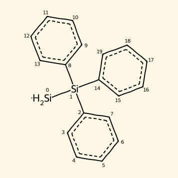 [SiH2][Si](c1ccccc1)(c1ccccc1)c1ccccc1